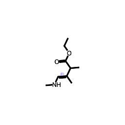 CCOC(=O)C(C)/C(C)=C/NC